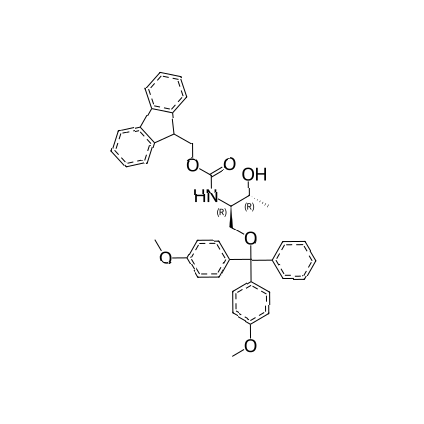 COc1ccc(C(OC[C@@H](NC(=O)OCC2c3ccccc3-c3ccccc32)[C@@H](C)O)(c2ccccc2)c2ccc(OC)cc2)cc1